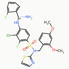 COc1ccc(CN(c2nccs2)S(=O)(=O)c2ccc(N[C@@H](N)c3ccccc3F)c(Cl)c2F)c(OC)c1